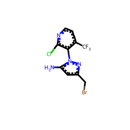 Nc1cc(CBr)nn1-c1c(C(F)(F)F)ccnc1Cl